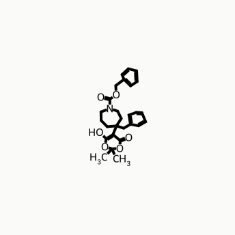 CC1(C)OC(=O)C(C2(Cc3ccccc3)CCCN(C(=O)OCc3ccccc3)CC2)=C(O)O1